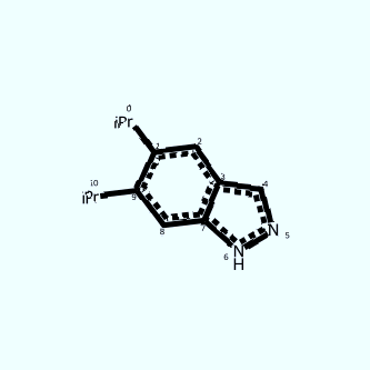 CC(C)c1cc2cn[nH]c2cc1C(C)C